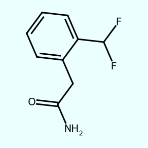 NC(=O)Cc1ccccc1C(F)F